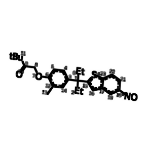 CCC(CC)(c1ccc(OCC(=O)C(C)(C)C)c(C)c1)c1cc2cc(N=O)ccc2s1